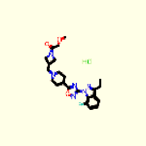 CCc1nn(-c2noc(C3CCN(CC4CN(C(=O)COC)C4)CC3)n2)c2c(F)cccc12.Cl